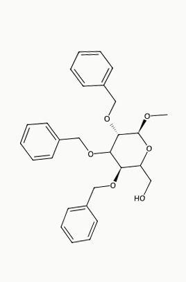 CO[C@H]1OC(CO)[C@@H](OCc2ccccc2)C(OCc2ccccc2)[C@@H]1OCc1ccccc1